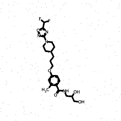 Cc1cc(OCCCC2CCN(c3noc(C(F)F)n3)CC2)ccc1C(=O)NCC(O)CO